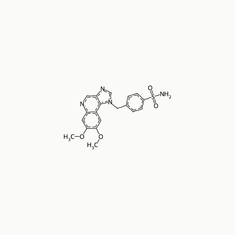 COc1cc2ncc3ncn(Cc4ccc(S(N)(=O)=O)cc4)c3c2cc1OC